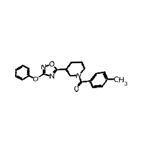 Cc1ccc(C(=O)N2CCCC(c3nc(Oc4ccccc4)no3)C2)cc1